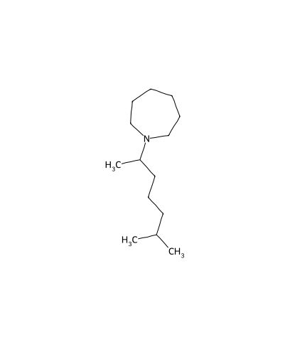 CC(C)CCCC(C)N1CCCCCC1